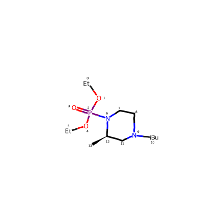 CCOP(=O)(OCC)N1CCN(C(C)CC)C[C@H]1C